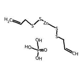 C=CCS[S][Zn][S]SCC=C.O=P(O)(O)O